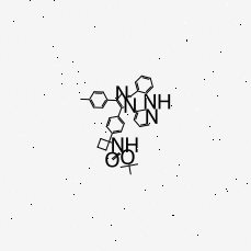 Cc1ccc(-c2nc3n(c2-c2ccc(C4(NC(=O)OC(C)(C)C)CCC4)cc2)-c2cccnc2Nc2ccccc2-3)cc1